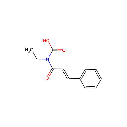 CCN(C(=O)O)C(=O)C=Cc1ccccc1